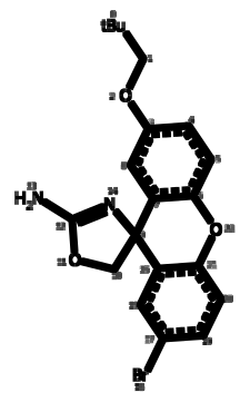 CC(C)(C)COc1ccc2c(c1)C1(COC(N)=N1)c1cc(Br)ccc1O2